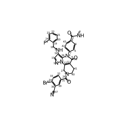 CNC(=O)c1ccc(-n2c(=O)c3c(n4ncc(NCc5ccccc5F)c24)CN(C(=O)c2ccc(Br)c(C#N)c2)CC3)cc1